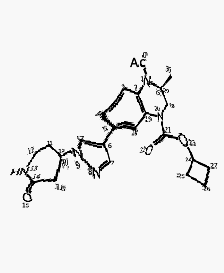 CC(=O)N1c2ccc(-c3cnn([C@@H]4CCNC(=O)C4)c3)cc2N(C(=O)OC2CCC2)C[C@@H]1C